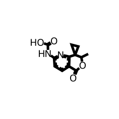 CC1OC(=O)c2ccc(NC(=O)O)nc2C12CC2